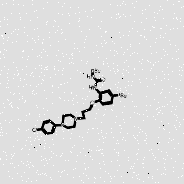 CCCCNC(=O)Nc1cc(C(C)(C)C)ccc1OCCCN1CCN(c2ccc(Cl)cc2)CC1